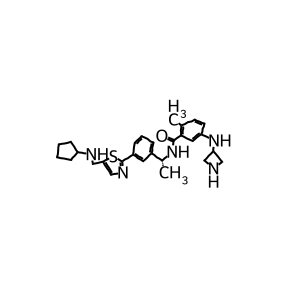 Cc1ccc(NC2CNC2)cc1C(=O)N[C@H](C)c1cccc(-c2ncc(CNC3CCCC3)s2)c1